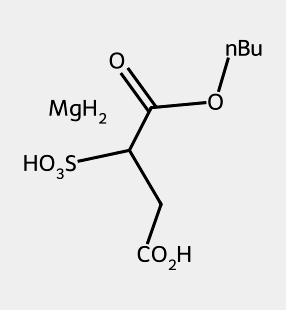 CCCCOC(=O)C(CC(=O)O)S(=O)(=O)O.[MgH2]